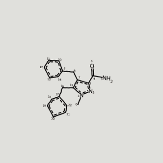 Cn1nc(C(N)=O)c(Cc2ccccc2)c1Cc1ccccc1